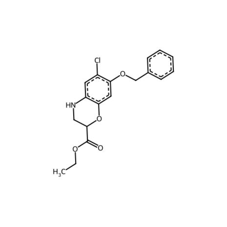 CCOC(=O)C1CNc2cc(Cl)c(OCc3ccccc3)cc2O1